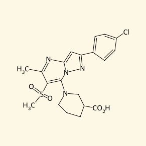 Cc1nc2cc(-c3ccc(Cl)cc3)nn2c(N2CCCC(C(=O)O)C2)c1S(C)(=O)=O